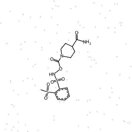 CS(=O)(=O)c1ccccc1S(=O)(=O)NOC(=O)N1CCC(C(N)=O)CC1